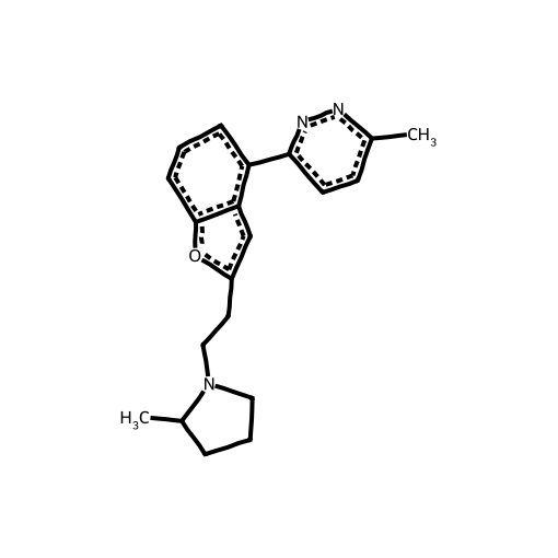 Cc1ccc(-c2cccc3oc(CCN4CCCC4C)cc23)nn1